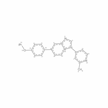 Cc1cc(-c2cnc3cc(-c4ccc(OC(C)C)cc4)ccn23)ccn1